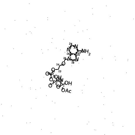 CC(=O)OP(=O)(O)OP(=O)(O)OP(=O)(O)OCCOCn1cnc2c(N)ncnc21